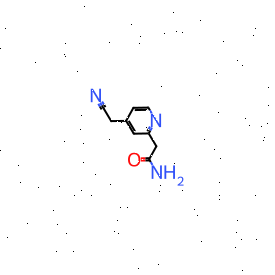 N#CCc1ccnc(CC(N)=O)c1